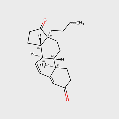 C=CCC[C@]12CC[C@H]3[C@@H](C=CC4=CC(=O)CC[C@@]43C)[C@@H]1CCC2=O